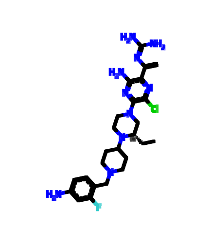 C=C(N=C(N)N)c1nc(Cl)c(N2CCN(C3CCN(Cc4ccc(N)cc4F)CC3)[C@@H](CC)C2)nc1N